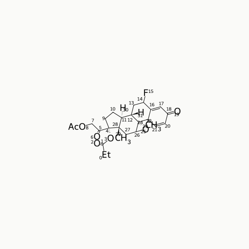 CCC(=O)O[C@]1(C(=O)COC(C)=O)CC[C@H]2[C@@H]3CC(F)C4=CC(=O)C=C[C@]4(C)[C@]34OC4C[C@@]21C